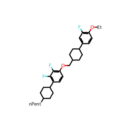 CCCCCC1CCC(c2ccc(OCC3CCC(c4ccc(OCC)c(F)c4)CC3)c(F)c2F)CC1